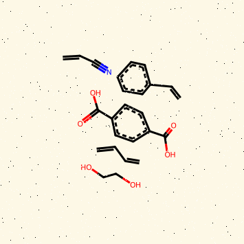 C=CC#N.C=CC=C.C=Cc1ccccc1.O=C(O)c1ccc(C(=O)O)cc1.OCCO